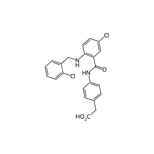 O=C(O)Cc1ccc(NC(=O)c2cc(Cl)ccc2NCc2ccccc2Cl)cc1